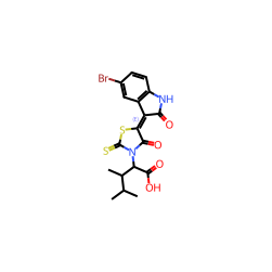 CC(C)C(C)C(C(=O)O)N1C(=O)/C(=C2\C(=O)Nc3ccc(Br)cc32)SC1=S